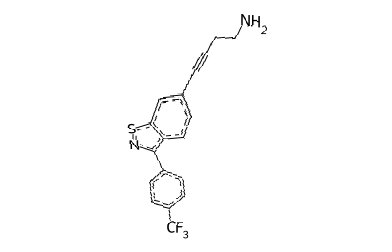 NCCC#Cc1ccc2c(-c3ccc(C(F)(F)F)cc3)nsc2c1